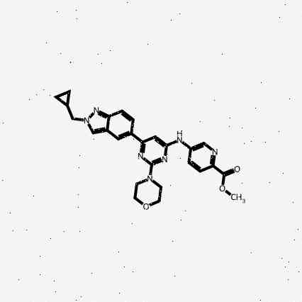 COC(=O)c1ccc(Nc2cc(-c3ccc4nn(CC5CC5)cc4c3)nc(N3CCOCC3)n2)cn1